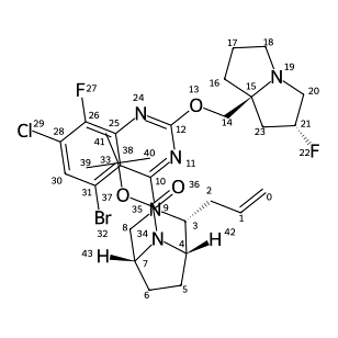 C=CC[C@@H]1[C@@H]2CC[C@H](CN1c1nc(OC[C@@]34CCCN3C[C@H](F)C4)nc3c(F)c(Cl)cc(Br)c13)N2C(=O)OC(C)(C)C